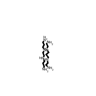 NCCCNCCNCCCN.NCCNCCCNCCN